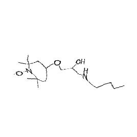 CCCCNCC(O)COC1CC(C)(C)N([O])C(C)(C)C1